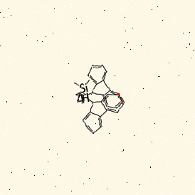 C[SiH](C)[Zr]([CH3])([CH3])([CH]1c2ccccc2-c2ccccc21)[CH]1c2ccccc2-c2ccccc21